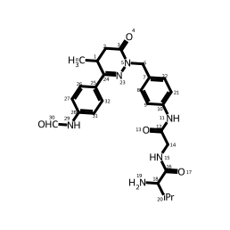 CC1CC(=O)N(Cc2ccc(NC(=O)CNC(=O)C(N)C(C)C)cc2)N=C1c1ccc(NC=O)cc1